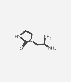 NC(N)CN1CCNC1=O